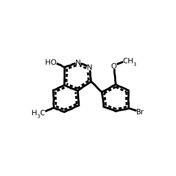 COc1cc(Br)ccc1-c1nnc(O)c2cc(C)ccc12